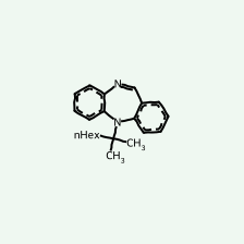 CCCCCCC(C)(C)N1c2ccccc2C=Nc2ccccc21